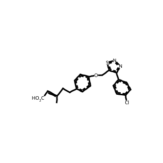 C/C(=C\C(=O)O)CCc1ccc(OCc2snnc2-c2ccc(Cl)cc2)cc1